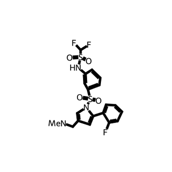 CNCc1cc(-c2ccccc2F)n(S(=O)(=O)c2cccc(NS(=O)(=O)C(F)F)c2)c1